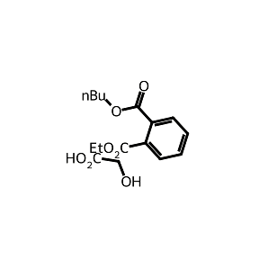 CCCCOC(=O)c1ccccc1C(=O)OCC.O=C(O)CO